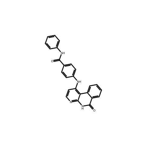 O=C(Nc1ccccc1)c1ccc(Nc2ccnc3[nH]c(=O)c4ccccc4c23)cc1